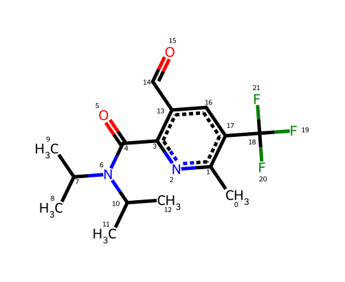 Cc1nc(C(=O)N(C(C)C)C(C)C)c(C=O)cc1C(F)(F)F